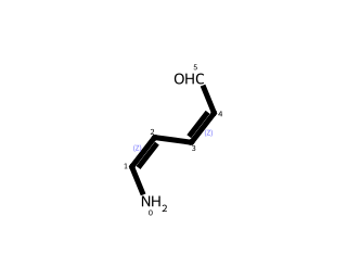 N/C=C\C=C/C=O